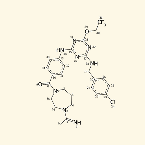 CC(=N)N1CCCN(C(=O)c2ccc(Nc3nc(NCc4ccc(Cl)cc4)nc(OCC(F)(F)F)n3)cc2)CC1